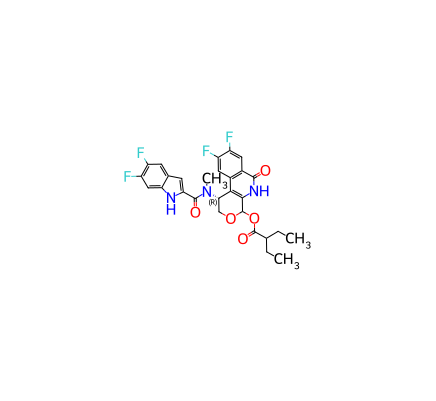 CCC(CC)C(=O)OC1OC[C@H](N(C)C(=O)c2cc3cc(F)c(F)cc3[nH]2)c2c1[nH]c(=O)c1cc(F)c(F)cc21